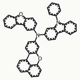 c1ccc(-n2c3ccccc3c3ccc(N(c4ccc5c(c4)Oc4cccc6cccc-5c46)c4ccc5oc6ccccc6c5c4)cc32)cc1